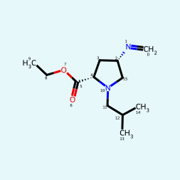 C=N[C@H]1C[C@@H](C(=O)OCC)N(CC(C)C)C1